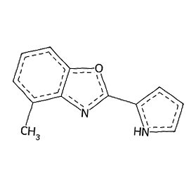 Cc1cccc2oc(-c3ccc[nH]3)nc12